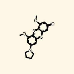 COc1cc(=O)cc2sc3cc(N4CCCC4)cc(OC)c3nc1-2